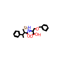 CC(c1ccccc1)C(CS)C(=O)NC(COCc1ccccc1)C(=O)O